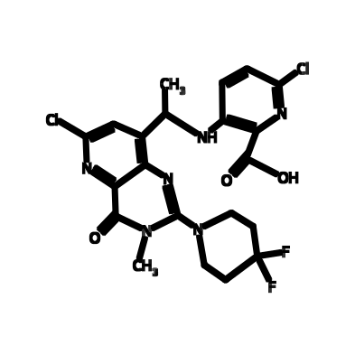 CC(Nc1ccc(Cl)nc1C(=O)O)c1cc(Cl)nc2c(=O)n(C)c(N3CCC(F)(F)CC3)nc12